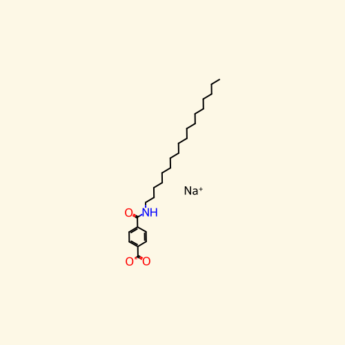 CCCCCCCCCCCCCCCCCCNC(=O)c1ccc(C(=O)[O-])cc1.[Na+]